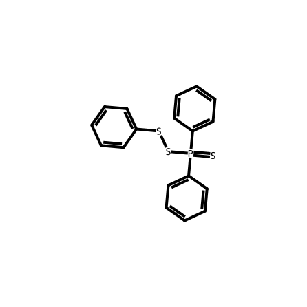 S=P(SSc1ccccc1)(c1ccccc1)c1ccccc1